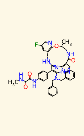 CNC(=O)C(=O)Nc1ccc(-c2c3nc4c(cnn4c2N(Cc2ccccc2)Cc2ccccc2)C(=O)NC[C@H](C)Oc2ncc(F)cc2CN3)cc1